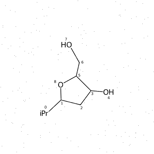 CC(C)C1CC(O)C(CO)O1